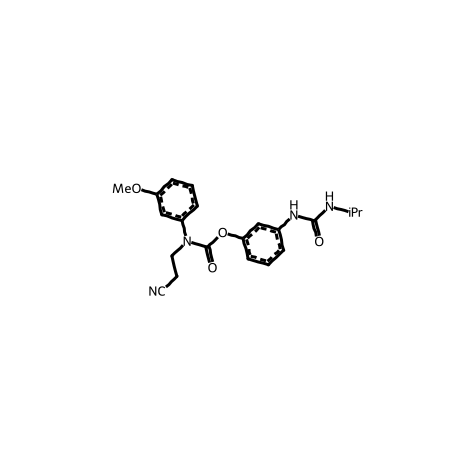 COc1cccc(N(CCC#N)C(=O)Oc2cccc(NC(=O)NC(C)C)c2)c1